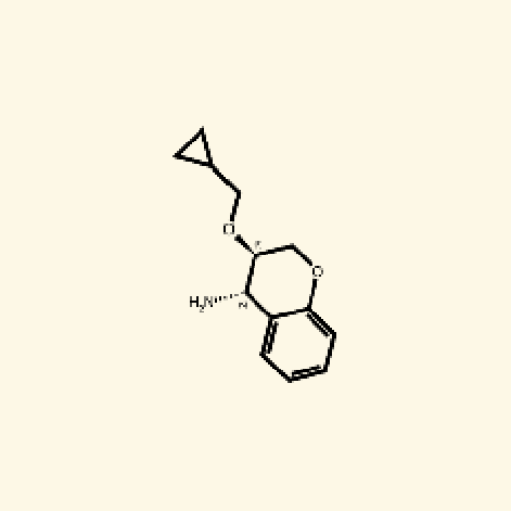 N[C@H]1c2ccccc2OC[C@@H]1OCC1CC1